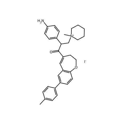 Cc1ccc(-c2ccc3c(c2)C=C(C(=O)C(C[N+]2(C)CCCCC2)c2ccc(N)cc2)CCO3)cc1.[I-]